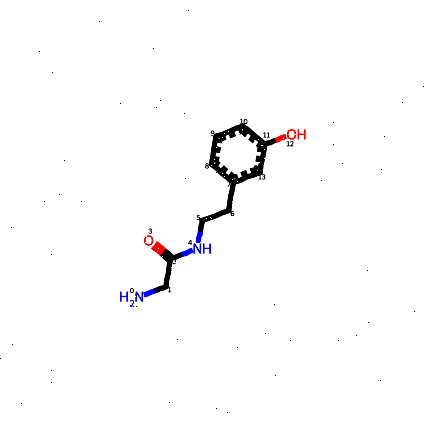 NCC(=O)NCCc1cccc(O)c1